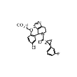 O=C(O)COc1ccc(Cl)cc1C1c2scnc2CCN1C(=O)[C@@H]1C[C@H]1c1cccc(F)c1